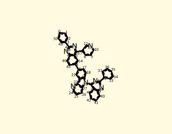 c1ccc(-c2nc(-c3cccnc3)c3cc(-c4ccc5c(c4)c4ncccc4n5-c4nc(-c5ccccc5)nc5ccccc45)ccc3n2)cc1